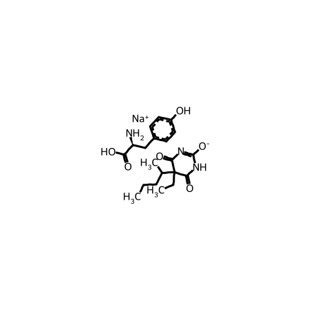 CCCC(C)C1(CC)C(=O)N=C([O-])NC1=O.N[C@@H](Cc1ccc(O)cc1)C(=O)O.[Na+]